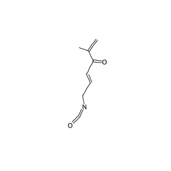 C=C(C)C(=O)C=CCN=C=O